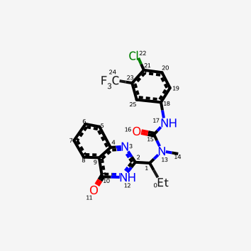 CCC(c1nc2ccccc2c(=O)[nH]1)N(C)C(=O)Nc1ccc(Cl)c(C(F)(F)F)c1